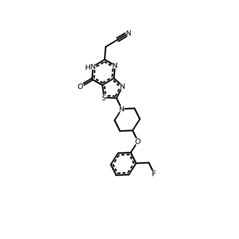 N#CCc1nc2nc(N3CCC(Oc4ccccc4CF)CC3)sc2c(=O)[nH]1